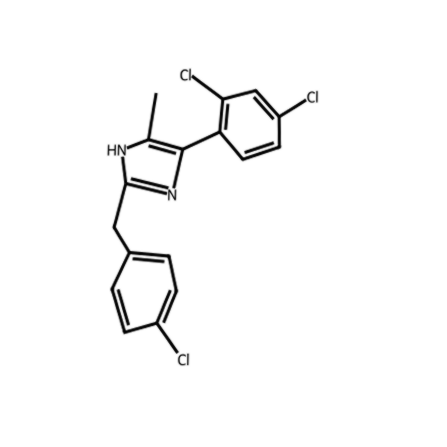 Cc1[nH]c(Cc2ccc(Cl)cc2)nc1-c1ccc(Cl)cc1Cl